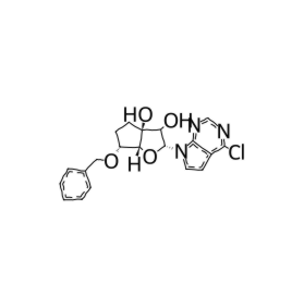 OC1[C@H](n2ccc3c(Cl)ncnc32)O[C@@H]2[C@H](OCc3ccccc3)CC[C@]12O